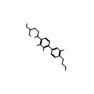 CCCCc1ccc(-c2ccc(C3CCC(CC)CO3)c(F)c2F)cc1F